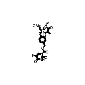 COCP(=O)(NC(C)C(=O)OC(C)C)Oc1ccc(COC(=O)n2cc(F)c(=O)[nH]c2=O)cc1